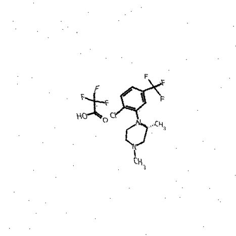 C[C@@H]1CN(C)CCN1c1cc(C(F)(F)F)ccc1Cl.O=C(O)C(F)(F)F